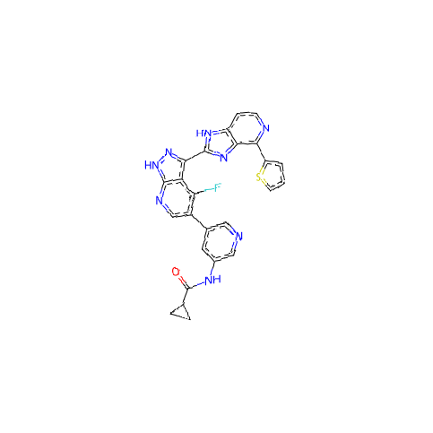 O=C(Nc1cncc(-c2cnc3[nH]nc(-c4nc5c(-c6cccs6)nccc5[nH]4)c3c2F)c1)C1CC1